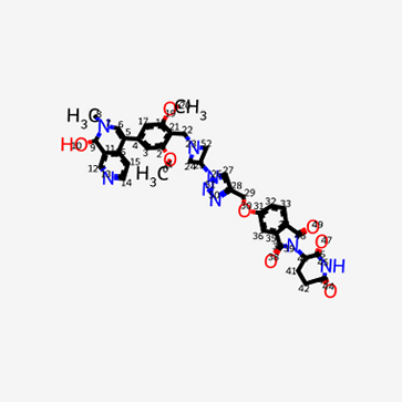 COc1cc(C2=CN(C)C(O)c3cnccc32)cc(OC)c1CN1CC(n2cc(COc3ccc4c(c3)C(=O)N(C3CCC(=O)NC3=O)C4=O)nn2)C1